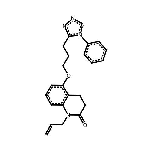 C=CCN1C(=O)CCc2c(OCCCc3nnnn3-c3ccccc3)cccc21